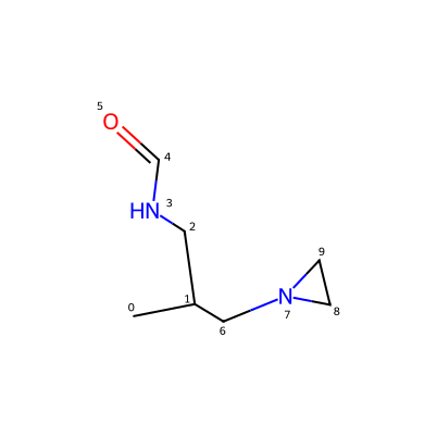 CC(CNC=O)CN1CC1